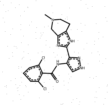 CN1CCc2[nH]c(-c3n[nH]cc3NC(=O)c3c(Cl)cccc3Cl)nc2C1